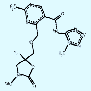 Cn1nnnc1NC(=O)c1ccc(C(F)(F)F)nc1COCC1(C)CN(C(C)(C)C)C(=O)O1